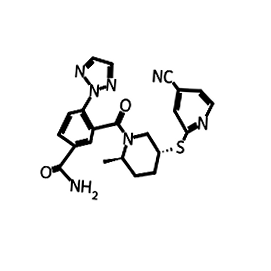 C[C@@H]1CC[C@@H](Sc2cc(C#N)ccn2)CN1C(=O)c1cc(C(N)=O)ccc1-n1nccn1